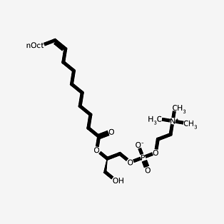 CCCCCCCC/C=C\CCCCCCCC(=O)O[C@H](CO)COP(=O)([O-])OCC[N+](C)(C)C